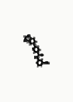 CC(C)(C)c1cccc(NC(=O)c2ccc(-c3ccc4c(c3)OCO4)nc2)c1